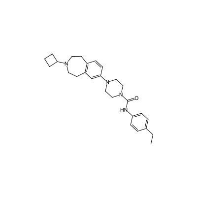 CCc1ccc(NC(=O)N2CCN(c3ccc4c(c3)CCN(C3CCC3)CC4)CC2)cc1